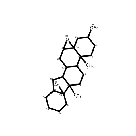 CC(=O)OC1CCC2(C)C3CCC4(C)C(CC5CCCCC54C(C)=O)C3CC3OC32C1